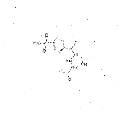 CS(=O)(=O)c1ccc(C(F)[C@H](CO)NC(=O)C(Cl)Cl)cc1